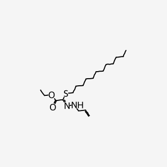 C=CCN/N=C(\SCCCCCCCCCCCC)C(=O)OCC